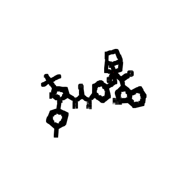 Cc1ccc(-n2nc(C(C)(C)C)cc2NC(=O)Nc2ccc(CC3CC4CCC(C3)N4C(=O)C(=O)c3c[nH]c4ccccc34)cc2)cc1